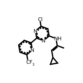 CC(=CC1CC1)Nc1cc(Cl)nc(-c2cccc(C(F)(F)F)n2)n1